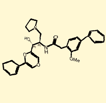 COc1cc(-c2ccccc2)ccc1CC(=O)N[C@H](CN1CCCC1)[C@@H](O)C1=COC=C(C2=CC=CCC2)O1